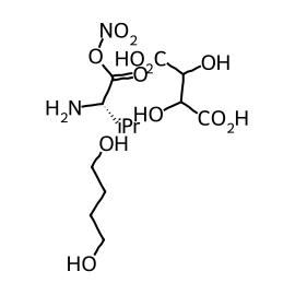 CC(C)[C@H](N)C(=O)O[N+](=O)[O-].O=C(O)C(O)C(O)C(=O)O.OCCCCO